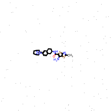 Cc1nc2sc(C(=O)N[C@@H]3CCc4cc(N5CC6CCC(C5)N6C)ccc4C3)c(N)c2s1